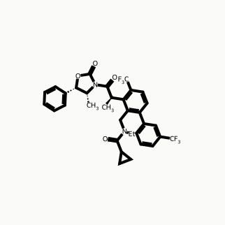 CCN(Cc1c(-c2cccc(C(F)(F)F)c2)ccc(C(F)(F)F)c1[C@@H](C)C(=O)N1C(=O)O[C@@H](c2ccccc2)[C@H]1C)C(=O)C1CC1